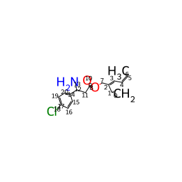 C=C/C(=C\C=C/C)COC(=O)C[C@@H](N)c1ccc(Cl)cc1